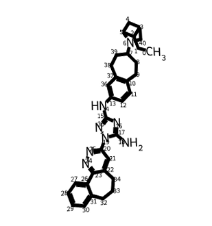 CCC1C2CC1N(C1CCc3ccc(Nc4nc(N)n(-c5cc6c(nn5)-c5ccccc5CCC6)n4)cc3CC1)C2